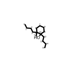 CCCCC1(C)CCCCC1(O)CCCC